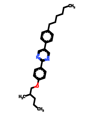 CCCCCCc1ccc(-c2cnc(-c3ccc(OCC(C)CCC)cc3)nc2)cc1